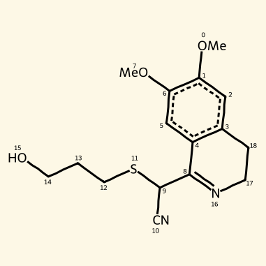 COc1cc2c(cc1OC)C(C(C#N)SCCCO)=NCC2